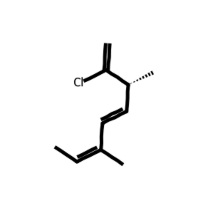 C=C(Cl)[C@H](C)/C=C/C(C)=C\C